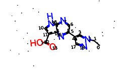 CCn1cc(-c2cnc3[nH]cc(C(=O)O)c3n2)cn1